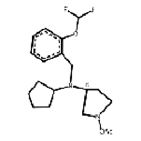 CC(=O)ON1CC[C@H](N(Cc2ccccc2OC(F)F)C2CCCC2)C1